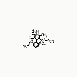 CC1=C(C(=O)OCCC#N)C(c2ccccc2[N+](=O)[O-])C(C(=O)OCCC#N)=C(C)N1